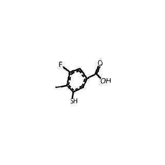 Cc1c(F)cc(C(=O)O)cc1S